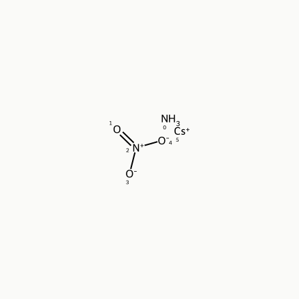 N.O=[N+]([O-])[O-].[Cs+]